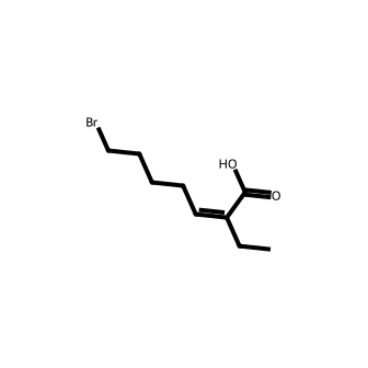 CCC(=CCCCCBr)C(=O)O